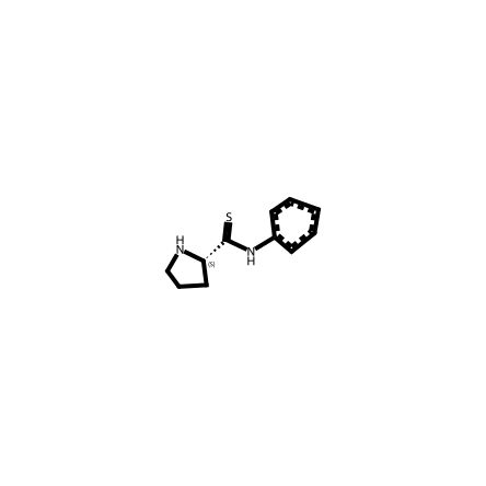 S=C(Nc1ccccc1)[C@@H]1CCCN1